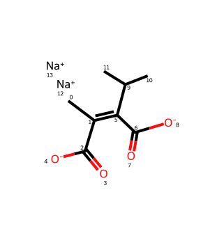 C/C(C(=O)[O-])=C(/C(=O)[O-])C(C)C.[Na+].[Na+]